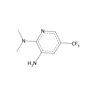 CN(C)c1ncc(C(F)(F)F)cc1N